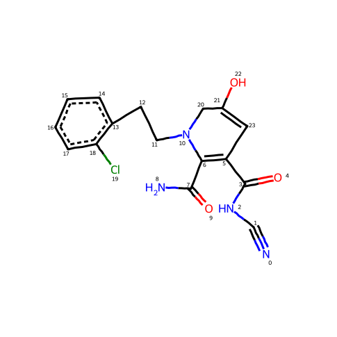 N#CNC(=O)C1=C(C(N)=O)N(CCc2ccccc2Cl)CC(O)=C1